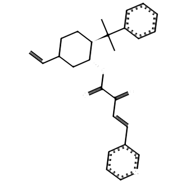 C=CC1CC[C@@H](C(C)(C)c2ccccc2)[C@H](OC(=O)C(=O)/C=C/c2cccnc2)C1